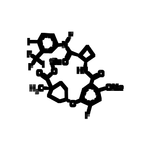 COc1cc(F)c(O[C@H]2CC[C@@](C)(C(=O)OC(C)(C)C)CC2)cc1C(=O)N[C@@H]1CC[C@@H]1C(=O)N(F)c1ccc(I)c(C(F)(F)I)c1